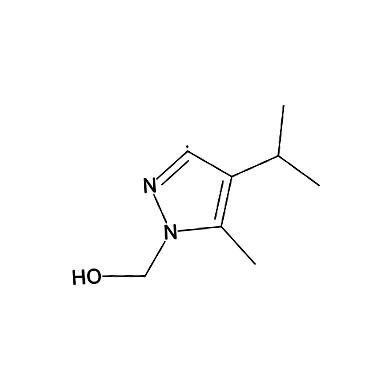 Cc1c(C(C)C)[c]nn1CO